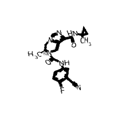 C[C@H]1Cn2cnc(C(=O)NC3(C)CC3)c2CN1C(=O)Nc1ccc(F)c(C#N)c1